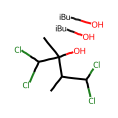 CC(C(Cl)Cl)C(C)(O)C(Cl)Cl.CCC(C)O.CCC(C)O